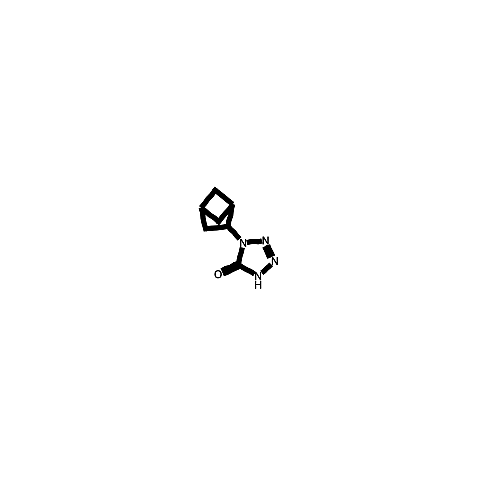 O=c1[nH]nnn1C1CC2CC1C2